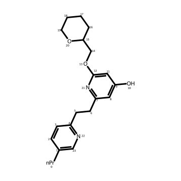 CCCc1ccc(CCc2cc(O)cc(OCC3CCCCO3)n2)nc1